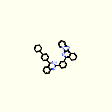 C1=CCCC(c2ccc(C3=c4ccccc4=NC(c4cccc(-c5nc6c(nc7ccccn76)c6c5CCC=C6)c4)N3)cc2)=C1